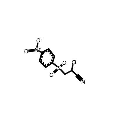 N#CC(Cl)CS(=O)(=O)c1ccc([N+](=O)[O-])cc1